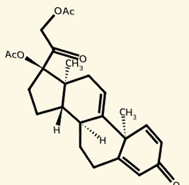 CC(=O)OCC(=O)[C@@]1(OC(C)=O)CC[C@H]2[C@@H]3CCC4=CC(=O)C=C[C@]4(C)C3=CC[C@@]21C